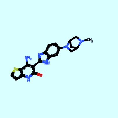 CN1CC2CC1CN2c1ccc2nc(-c3c(N)c4sccc4[nH]c3=O)[nH]c2c1